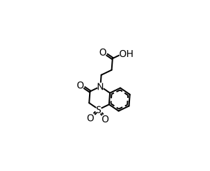 O=C(O)CCN1C(=O)CS(=O)(=O)c2ccccc21